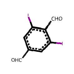 O=Cc1cc(I)c(C=O)c(I)c1